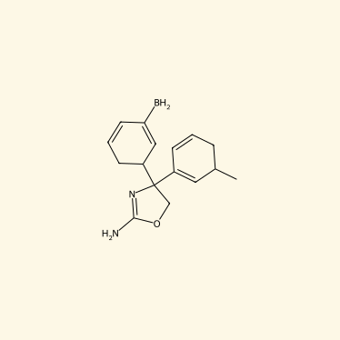 BC1=CC(C2(C3=CC(C)CC=C3)COC(N)=N2)CC=C1